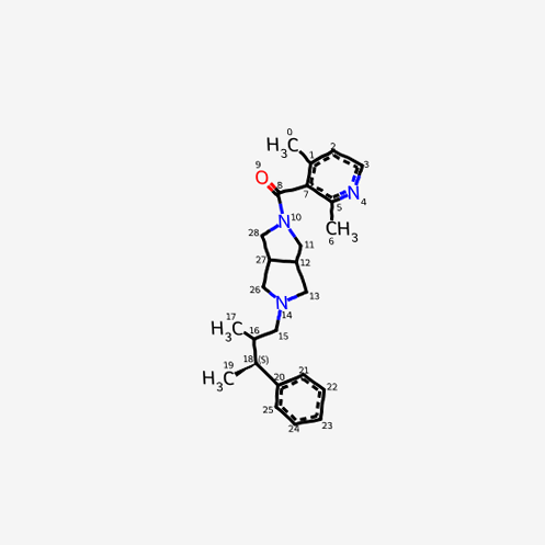 Cc1ccnc(C)c1C(=O)N1CC2CN(CC(C)[C@H](C)c3ccccc3)CC2C1